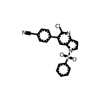 N#Cc1ccc(-c2cc3c(ccn3S(=O)(=O)c3ccccc3)nc2Cl)cc1